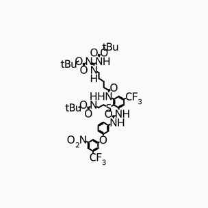 CC(C)(C)OC(=O)/N=C(\NCCCCC(=O)Nc1cc(C(F)(F)F)cc(NC(=O)Nc2cccc(Oc3cc([N+](=O)[O-])cc(C(F)(F)F)c3)c2)c1SCCNC(=O)OC(C)(C)C)NC(=O)OC(C)(C)C